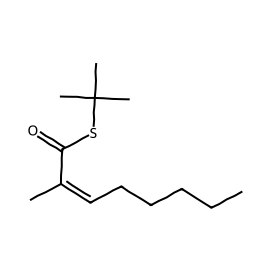 CCCCC/C=C(/C)C(=O)SC(C)(C)C